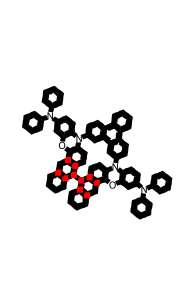 c1ccc(N(c2ccccc2)c2ccc3c(c2)Oc2cc(N(c4ccccc4)c4ccccc4)ccc2N3c2ccc3c4ccccc4c4ccc(N5c6ccc(N(c7ccccc7)c7ccccc7)cc6Oc6cc(N(c7ccccc7)c7ccccc7)ccc65)cc4c3c2)cc1